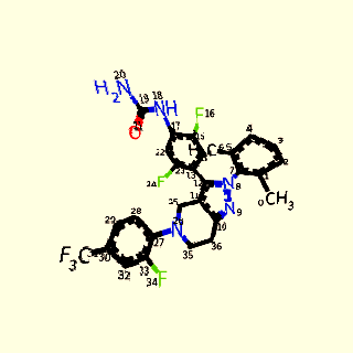 Cc1cccc(C)c1-n1nc2c(c1-c1cc(F)c(NC(N)=O)cc1F)CN(c1ccc(C(F)(F)F)cc1F)CC2